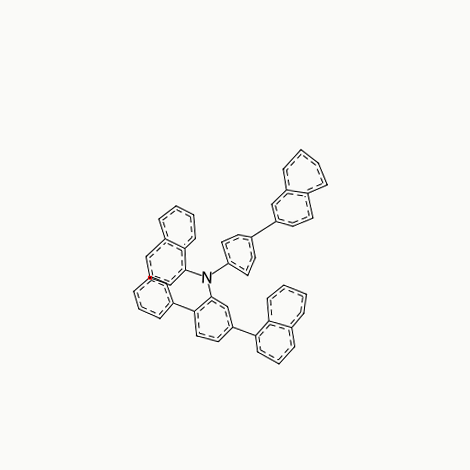 c1ccc(-c2ccc(-c3cccc4ccccc34)cc2N(c2ccc(-c3ccc4ccccc4c3)cc2)c2cccc3ccccc23)cc1